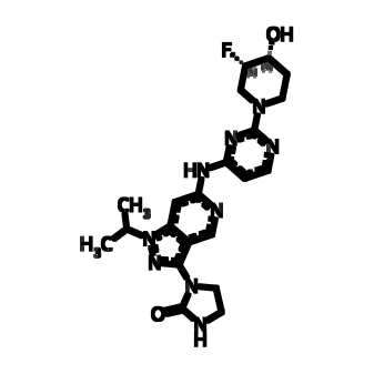 CC(C)n1nc(N2CCNC2=O)c2cnc(Nc3ccnc(N4CC[C@@H](O)[C@@H](F)C4)n3)cc21